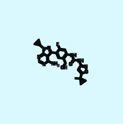 CC1(c2cc(NC(=O)Nc3cc(F)c(-c4nn(C5CC5)c5ncnc(N)c45)cc3CO)no2)CC1